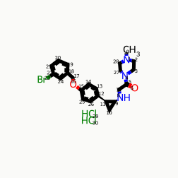 CN1CCN(C(=O)CN[C@@H]2C[C@H]2c2ccc(OCc3cccc(Br)c3)cc2)CC1.Cl.Cl